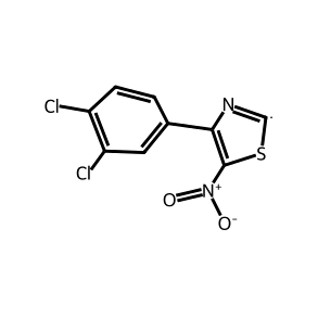 O=[N+]([O-])c1s[c]nc1-c1ccc(Cl)c(Cl)c1